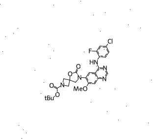 COc1cc2ncnc(Nc3ccc(Cl)cc3F)c2cc1N1CC2(CN(C(=O)OC(C)(C)C)C2)OC1=O